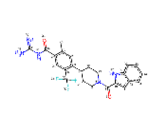 Cc1cc(C2CCN(C(=O)c3cc4ccccc4[nH]3)CC2)c(C(F)(F)F)cc1C(=O)NC(=N)N